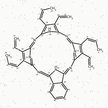 C=CC1=C(/C=C\C)c2nc1nc1[nH]c(nc3nc(nc4[nH]c(n2)c(C=C)c4/C=C\C)C(C=C)=C3/C=C\C)c2ccccc12